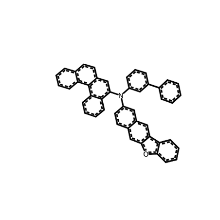 c1ccc(-c2cccc(N(c3ccc4cc5oc6ccccc6c5cc4c3)c3cc4ccc5ccccc5c4c4ccccc34)c2)cc1